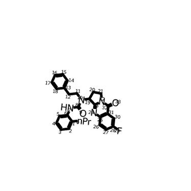 CCCc1ccccc1NC(=O)N(CCc1ccccc1)C1CCn2c1nc1ccc(F)cc1c2=O